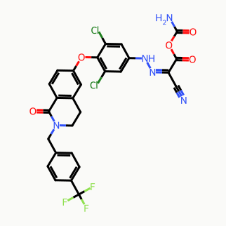 N#CC(=NNc1cc(Cl)c(Oc2ccc3c(c2)CCN(Cc2ccc(C(F)(F)F)cc2)C3=O)c(Cl)c1)C(=O)OC(N)=O